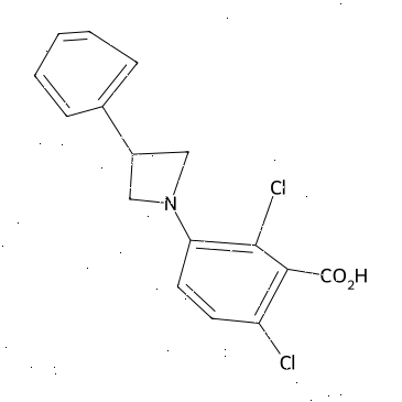 O=C(O)c1c(Cl)ccc(N2CC(c3ccccc3)C2)c1Cl